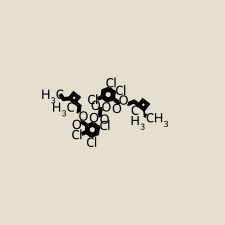 CCC1CCC1(C)CCOC(=O)c1c(Cl)c(Cl)cc(Cl)c1OC(=O)C(=O)Oc1c(Cl)cc(Cl)c(Cl)c1C(=O)OCCC1(C)CC[C@H]1CC